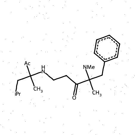 CNC(C)(Cc1ccccc1)C(=O)CCNC(C)(CC(C)C)C(C)=O